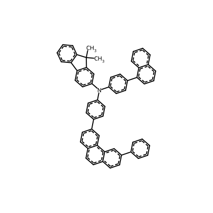 CC1(C)c2ccccc2-c2ccc(N(c3ccc(-c4ccc5ccc6ccc(-c7ccccc7)cc6c5c4)cc3)c3ccc(-c4cccc5ccccc45)cc3)cc21